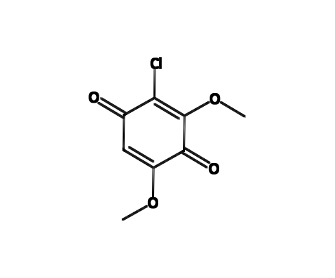 COC1=CC(=O)C(Cl)=C(OC)C1=O